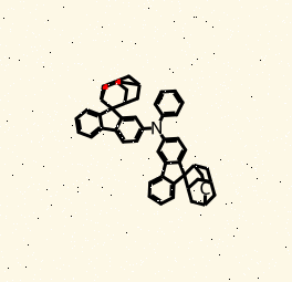 c1ccc(N(c2ccc3c(c2)-c2ccccc2C32C3CCC4CC(C3)CC2C4)c2ccc3c(c2)C2(c4ccccc4-3)C3CCC4CC(C3)CC2C4)cc1